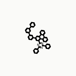 c1ccc(-c2cccc(-c3cccc(-c4cc(-c5nc(-c6ccccc6)nc(-c6ccccc6)n5)c5c6ccccc6c6ccccc6c5c4)c3)c2)cc1